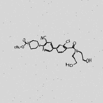 CC(C)(C)OC(=O)N1CCN(c2ncc(-c3ccc(C(=O)N(CCO)CCO)c(Cl)c3)cc2C#N)CC1